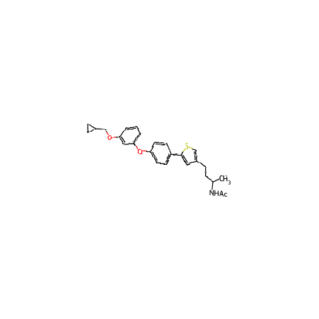 CC(=O)NC(C)CCc1csc(-c2ccc(Oc3cccc(OCC4CC4)c3)cc2)c1